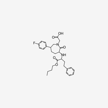 CCCCOC(=O)C(CCc1ccccc1)NC1CCC(c2ccc(F)cc2)CN(CC(=O)O)C1=O